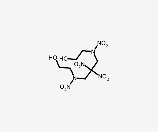 O=[N+]([O-])N(CCO)CC(CN(CCO)[N+](=O)[O-])([N+](=O)[O-])[N+](=O)[O-]